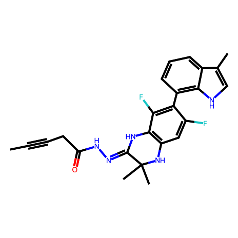 CC#CCC(=O)NN=C1Nc2c(cc(F)c(-c3cccc4c(C)c[nH]c34)c2F)NC1(C)C